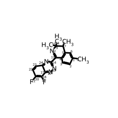 Cc1ccc2c(c1)C(C)C(C)(C)N=C2c1nnc2c(F)c(F)ccc2n1